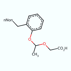 CCCCCCCCCCc1ccccc1OC(C)OCC(=O)O